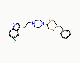 Fc1ccc2[nH]cc(CCN3CCN(C4CSC(Cc5ccccc5)CS4)CC3)c2c1